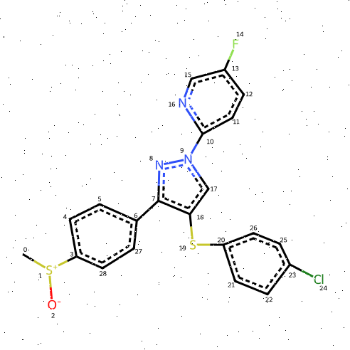 C[S+]([O-])c1ccc(-c2nn(-c3ccc(F)cn3)cc2Sc2ccc(Cl)cc2)cc1